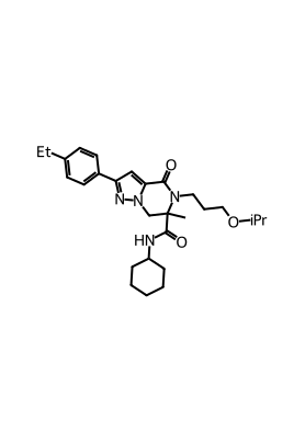 CCc1ccc(-c2cc3n(n2)CC(C)(C(=O)NC2CCCCC2)N(CCCOC(C)C)C3=O)cc1